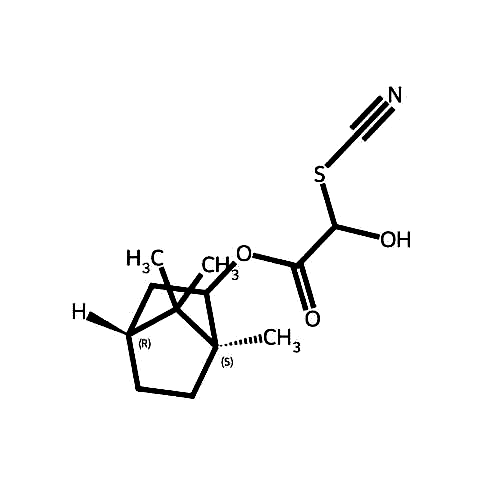 CC1(C)[C@@H]2CC[C@]1(C)C(OC(=O)C(O)SC#N)C2